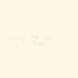 CC(C)(C)OC(=O)N1Cc2nn(C[C@H]3NC(=O)[C@H]3NC(=O)OCc3ccccc3)nc2C1